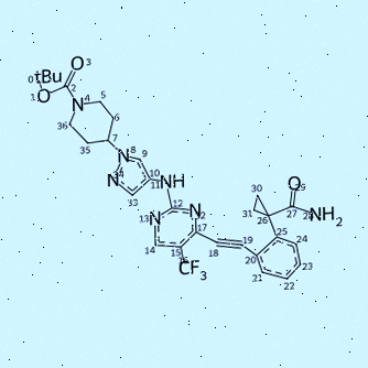 CC(C)(C)OC(=O)N1CCC(n2cc(Nc3ncc(C(F)(F)F)c(C#Cc4ccccc4C4(C(N)=O)CC4)n3)cn2)CC1